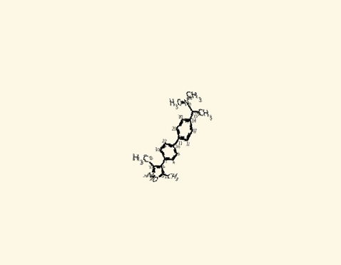 Cc1noc(C)c1-c1ccc(-c2ccc(C(C)N(C)C)cc2)cc1